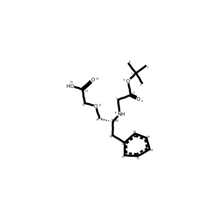 CC(C)(C)OC(=O)CN[C@@H](COCC(=O)O)Cc1ccccc1